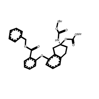 COC(=O)O[C@@]1(NC(=O)OC(C)(C)C)CCc2cccc(Oc3ccccc3C(=O)OCc3ccccc3)c2C1